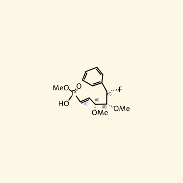 CO[C@H]([C@@H](/C=C/P(=O)(O)OC)OC)[C@@H](F)c1ccccc1